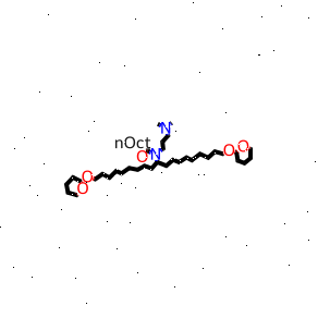 CCCCCCCCC(=O)N(CCCN(C)C)C(CCCCCCCCCOC1CCCCO1)CCCCCCCCCOC1CCCCO1